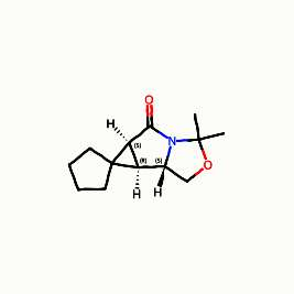 CC1(C)OC[C@@H]2[C@@H]3[C@H](C(=O)N21)C31CCCC1